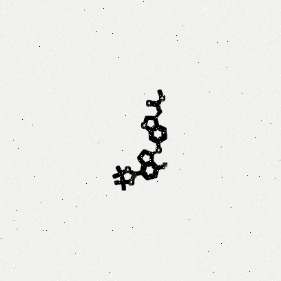 COC(=O)C[C@@H]1COc2cc(O[C@H]3CCc4c(B5OC(C)(C)C(C)(C)O5)ccc(F)c43)ccc21